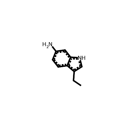 CCc1c[nH]c2cc(N)ccc12